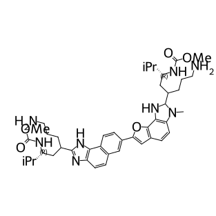 COC(=O)N[C@H](CC(CCCN)c1nc2ccc3cc(-c4cc5ccc6c(c5o4)NC(C(CCCN)C[C@@H](NC(=O)OC)C(C)C)N6C)ccc3c2[nH]1)C(C)C